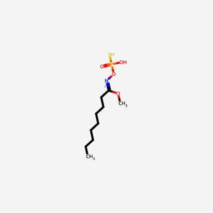 CCCCCCCC/C(=N/OP(=O)(O)S)OC